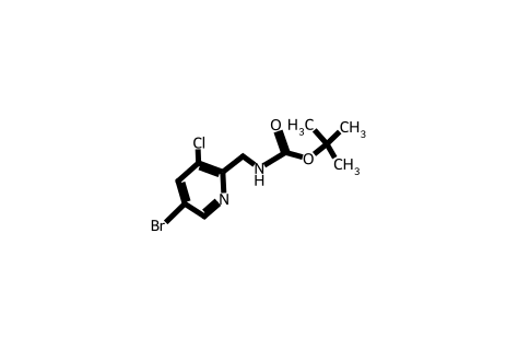 CC(C)(C)OC(=O)NCc1ncc(Br)cc1Cl